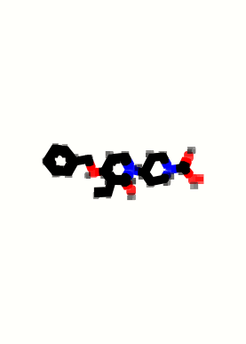 C=Cc1c(OCc2ccccc2)ccn(C2CCN(C(=O)O)CC2)c1=O